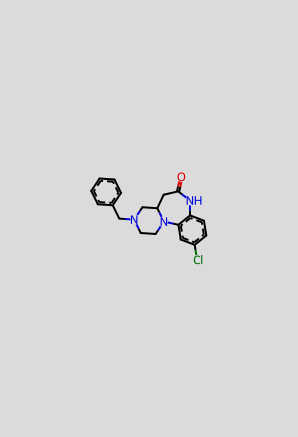 O=C1CC2CN(Cc3ccccc3)CCN2c2cc(Cl)ccc2N1